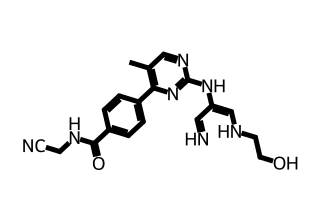 Cc1cnc(N/C(C=N)=C/NCCO)nc1-c1ccc(C(=O)NCC#N)cc1